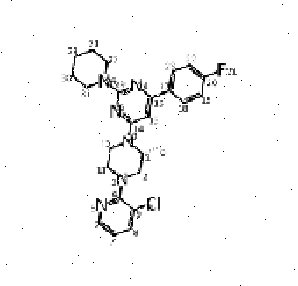 C[C@@H]1CN(c2ncccc2Cl)CCN1c1cc(-c2ccc(F)cc2)nc(N2CCCCC2)n1